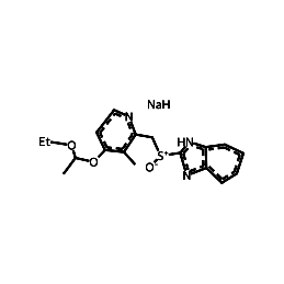 CCOC(C)Oc1ccnc(C[S+]([O-])c2nc3ccccc3[nH]2)c1C.[NaH]